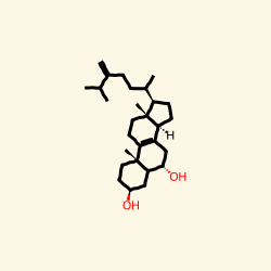 C=C(CCC(C)[C@H]1CC[C@H]2C3=C(CC[C@]12C)[C@@]1(C)CC[C@H](O)CC1[C@@H](O)C3)C(C)C